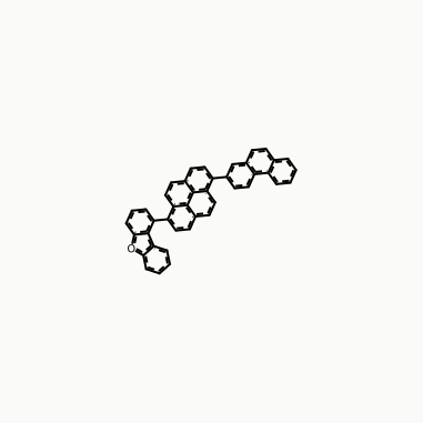 c1ccc2c(c1)ccc1cc(-c3ccc4ccc5c(-c6cccc7oc8ccccc8c67)ccc6ccc3c4c65)ccc12